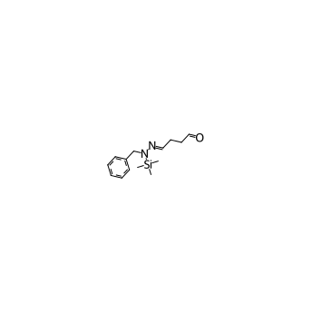 C[Si](C)(C)N(Cc1ccccc1)N=CCCC=O